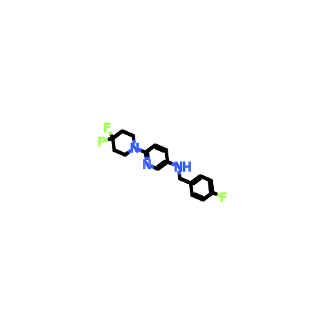 Fc1ccc(CNc2ccc(N3CCC(F)(F)CC3)nc2)cc1